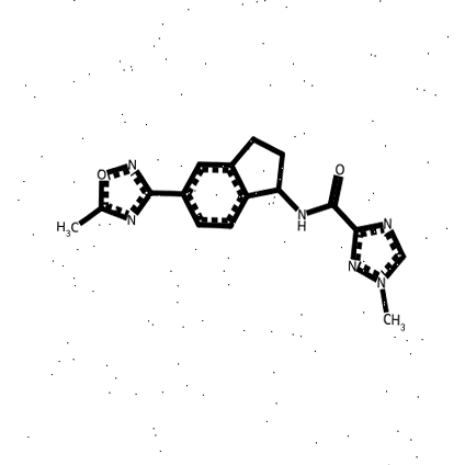 Cc1nc(-c2ccc3c(c2)CCC3NC(=O)c2ncn(C)n2)no1